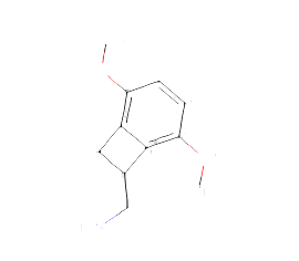 COc1ccc(OC)c2c1CC2CN